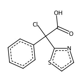 O=C(O)C(Cl)(c1ccccc1)c1nccs1